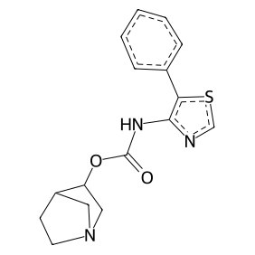 O=C(Nc1ncsc1-c1ccccc1)OC1CN2CCC1C2